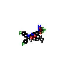 CC(C)(C)OC(=O)N(CCN1Cc2ccc(F)cc2CC1Cc1ccc(F)cc1)Cc1cccc(NS(=O)(=O)C(F)(F)F)c1